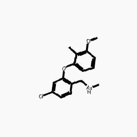 COc1cccc(Oc2cc(Cl)ccc2C[AsH]C)c1C